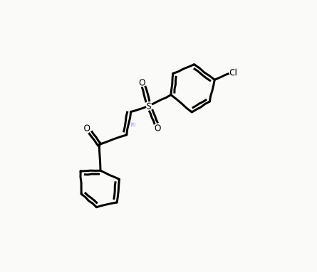 O=C(/C=C/S(=O)(=O)c1ccc(Cl)cc1)c1ccccc1